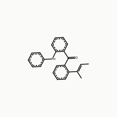 CC=C(C)c1ccccc1C(=O)c1ccccc1Pc1ccccc1